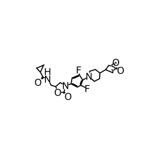 O=C(NCC1CN(c2cc(F)c(N3CCC(C4CS(=O)(=O)C4)CC3)c(F)c2)C(=O)O1)C1CC1